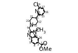 COC(=O)c1ccc2nc(CN3CCC(c4cccc(Cl)n4)CC3)n(C)c2c1